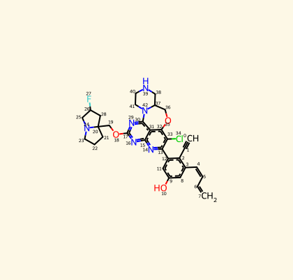 C#Cc1c(/C=C\C=C)cc(O)cc1-c1nc2nc(OCC34CCCN3CC(F)C4)nc3c2c(c1Cl)OCC1CNCCN31